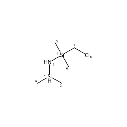 C[SiH](C)N[Si](C)(C)CCl